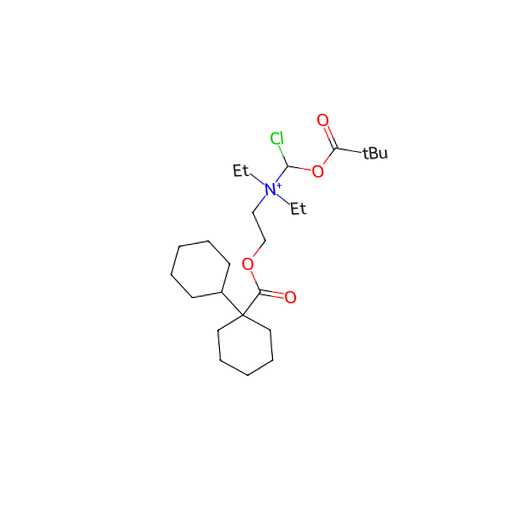 CC[N+](CC)(CCOC(=O)C1(C2CCCCC2)CCCCC1)C(Cl)OC(=O)C(C)(C)C